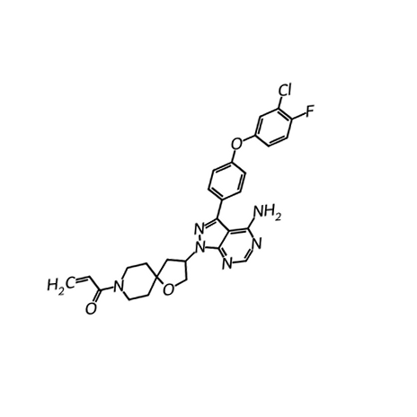 C=CC(=O)N1CCC2(CC1)CC(n1nc(-c3ccc(Oc4ccc(F)c(Cl)c4)cc3)c3c(N)ncnc31)CO2